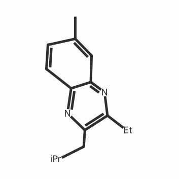 CCc1nc2cc(C)ccc2nc1CC(C)C